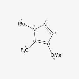 COc1cnn(C(C)(C)C)c1C(F)(F)F